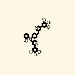 COc1ccccc1N(Cc1ccnc(-c2cc(OC)c(OC)c(OC)c2)c1)C1CCC(Cc2cncc(-c3cc(OC)c(OC)c(OC)c3)c2)CC1